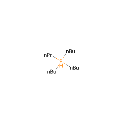 CCCC[PH](CCC)(CCCC)CCCC